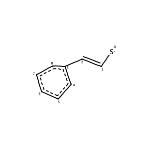 [S]C=Cc1ccccc1